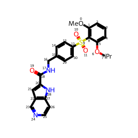 COc1cccc(OC(C)C)c1S(=O)(=O)c1ccc(CNC(=O)c2cc3cnccc3[nH]2)cc1